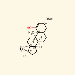 CC[C@@]1(C)CC[C@H]2[C@@H]3CCC4C[C@@H](OC)C=C(O)[C@]4(C)[C@H]3CC[C@@]21C